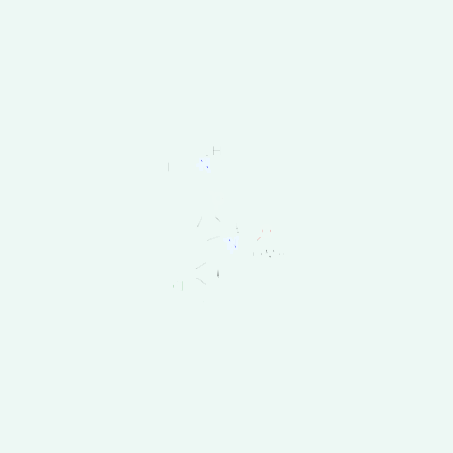 COC(=O)c1cc2c(OCCN(C)C)cccc2n1Cc1ccc(Cl)c(Cl)c1